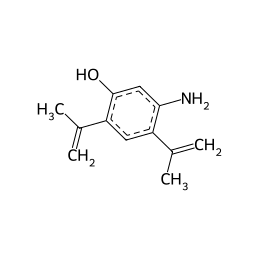 C=C(C)c1cc(C(=C)C)c(O)cc1N